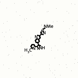 CNCCn1cc(-c2cnc3ccc(-c4c[nH]nc4-c4cccc(C)n4)cc3c2)cn1